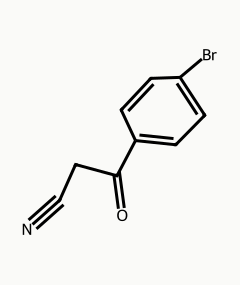 N#CCC(=O)c1ccc(Br)cc1